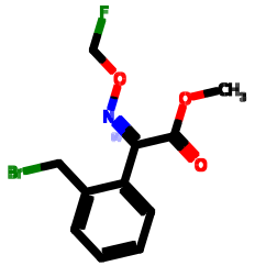 COC(=O)/C(=N\OCF)c1ccccc1CBr